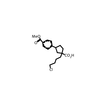 COC(=O)c1ccc(C2CCC(CCCCCl)(C(=O)O)C2)cc1